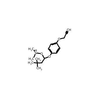 C#CCOc1ccc(OC(CC(C)(C)C)O[SiH](C)C)cc1